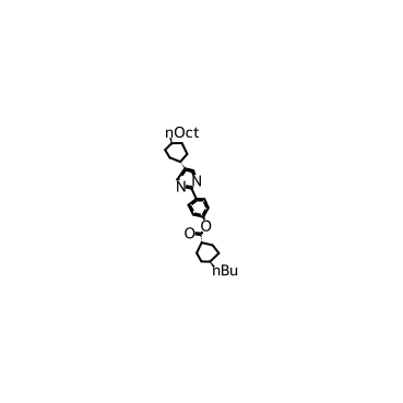 CCCCCCCC[C@H]1CC[C@H](c2cnc(-c3ccc(OC(=O)[C@H]4CC[C@H](CCCC)CC4)cc3)nc2)CC1